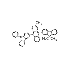 Cc1ccc2c(-c3ccc4c(c3)c3ccccc3p4-c3ccccc3)c3ccccc3c(-c3ccc4c(c3)C(C)(C)c3ccccc3-4)c2c1